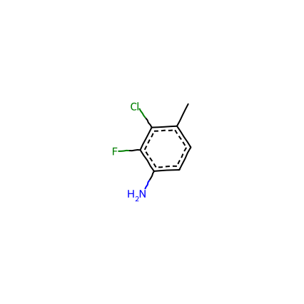 Cc1ccc(N)c(F)c1Cl